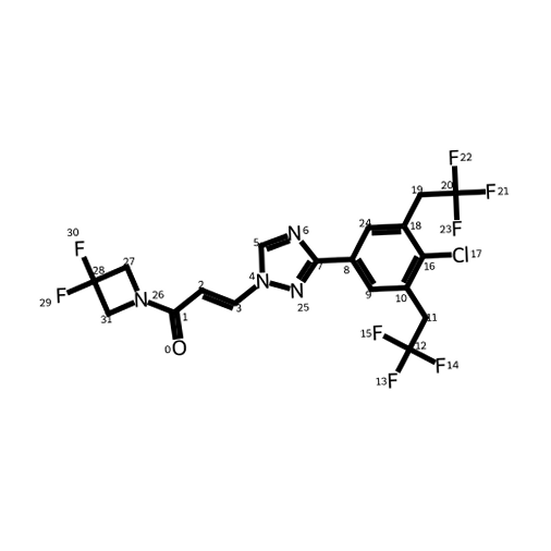 O=C(C=Cn1cnc(-c2cc(CC(F)(F)F)c(Cl)c(CC(F)(F)F)c2)n1)N1CC(F)(F)C1